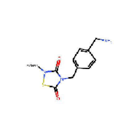 CCCCCn1sc(=O)n(Cc2ccc(CN)cc2)c1=O